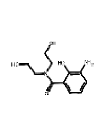 Nc1cccc(C(=O)N(CCO)CCO)c1O